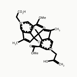 C=C(O)C[n+]1cc(C(=O)OC)c2c(c1)C(C)=CC2(C)C1(C)C=C(C)c2c[n+](CC(=O)O)cc(C(=O)OC)c21